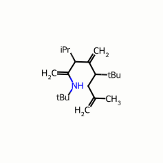 C=C(C)CC(C(=C)C(C(=C)NC(C)(C)C)C(C)C)C(C)(C)C